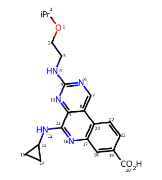 CC(C)OCCNc1ncc2c(n1)c(NC1CC1)nc1cc(C(=O)O)ccc12